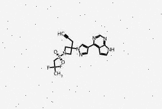 C#CCC1(n2cc(-c3ncnc4[nH]ccc34)cn2)CN(S(=O)(=O)CC(C)(F)F)C1